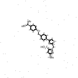 CCCC(CCC)c1ccc(OCc2ccc(-c3csc(Cn4nc(C(C)(C)C)cc4C(=O)O)n3)cc2)cc1